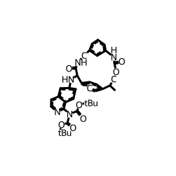 CC1COC(=O)Nc2cccc(c2)CNC(=O)C(Nc2ccc3c(N(C(=O)OC(C)(C)C)C(=O)OC(C)(C)C)nccc3c2)c2ccc1cc2